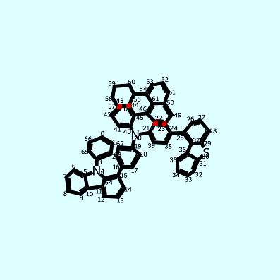 c1ccc(-n2c3ccccc3c3cccc(-c4ccc(N(c5ccc(-c6cccc7sc8ccccc8c67)cc5)c5ccccc5-c5cccc6cccc(C7CCCCC7)c56)cc4)c32)cc1